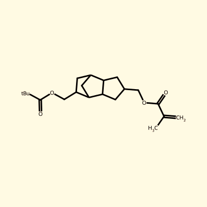 C=C(C)C(=O)OCC1CC2C3CC(COC(=O)C(C)(C)C)C(C3)C2C1